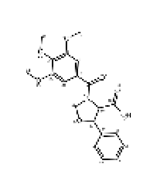 COc1cc(C(=O)N2COC(c3ccccc3)C2C(=O)O)cc(OC)c1OC